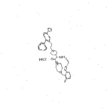 CCOc1cccc(F)c1CN1CCN(C(=O)C(N)C2CCN(CCc3cc(Cl)ccc3-c3ccccc3)CC2)CC1.Cl